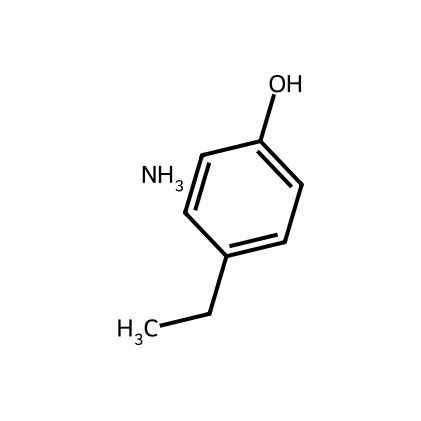 CCc1ccc(O)cc1.N